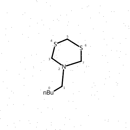 CCCCCN1CSCSC1